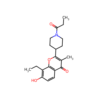 CCC(=O)N1CCC(c2oc3c(CC)c(O)ccc3c(=O)c2C)CC1